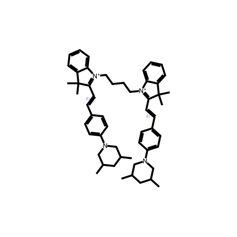 CC1CC(C)CN(c2ccc(/C=C/C3=[N+](CCCC[N+]4=C(/C=C/c5ccc(N6CC(C)CC(C)C6)cc5)C(C)(C)c5ccccc54)c4ccccc4C3(C)C)cc2)C1